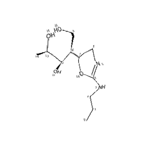 CCCNC1=NCC([C@H](CO)[C@@H](O)[C@@H](C)O)O1